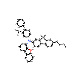 CCCCc1ccc2c(c1)C(C)(C)c1cc(N(c3ccc4c(c3)C(C)(C)c3ccccc3-4)c3cccc4c3oc3ccccc34)ccc1-2